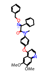 COc1cc2nccc(Oc3ccc(N(C)C(=O)/C(=N/OCc4ccccc4)C4=CCCC=C4)cc3)c2cc1OC